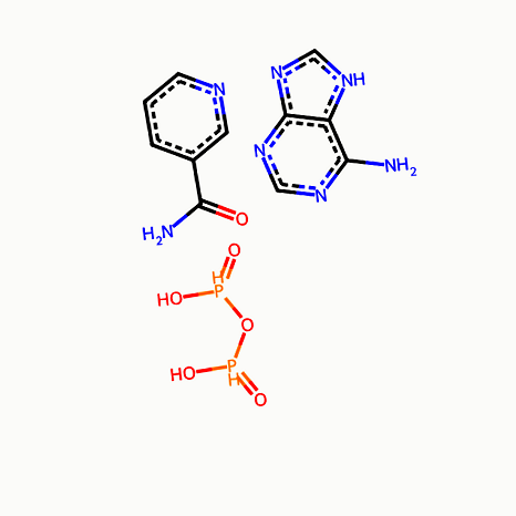 NC(=O)c1cccnc1.Nc1ncnc2nc[nH]c12.O=[PH](O)O[PH](=O)O